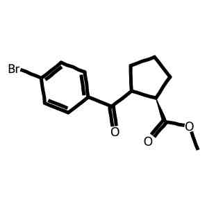 COC(=O)[C@@H]1CCCC1C(=O)c1ccc(Br)cc1